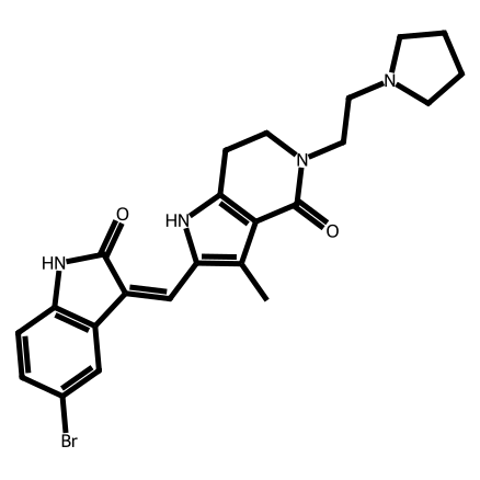 Cc1c(C=C2C(=O)Nc3ccc(Br)cc32)[nH]c2c1C(=O)N(CCN1CCCC1)CC2